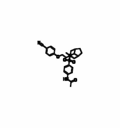 CC(=O)Nc1ccc(S(=O)(=O)N(C)C2C3CCC2CN(CCOc2ccc(C#N)cc2)C3)cc1